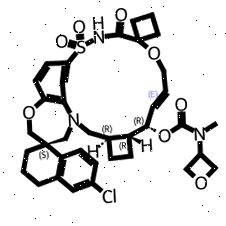 CN(C(=O)O[C@H]1/C=C/COC2(CCC2)C(=O)NS(=O)(=O)c2ccc3c(c2)N(C[C@@H]2CC[C@H]21)C[C@@]1(CCCc2cc(Cl)ccc21)CO3)C1COC1